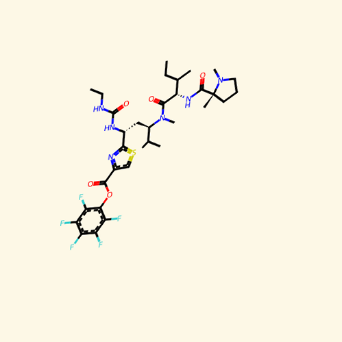 CCNC(=O)N[C@H](C[C@H](C(C)C)N(C)C(=O)[C@@H](NC(=O)[C@@]1(C)CCCN1C)C(C)CC)c1nc(C(=O)Oc2c(F)c(F)c(F)c(F)c2F)cs1